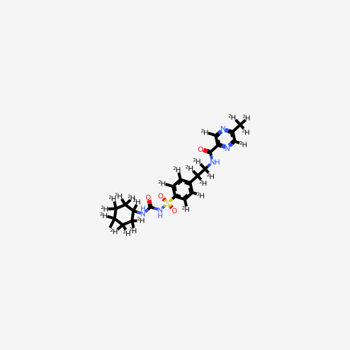 [2H]c1nc(C([2H])([2H])[2H])c([2H])nc1C(=O)NC([2H])([2H])C([2H])([2H])c1c([2H])c([2H])c(S(=O)(=O)NC(=O)NC2([2H])C([2H])([2H])C([2H])([2H])C([2H])(C)C([2H])([2H])C2([2H])[2H])c([2H])c1[2H]